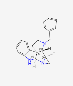 c1ccc(CN2CC[C@@]34c5ccccc5N[C@@H]3N3C[C@@H]3[C@@H]24)cc1